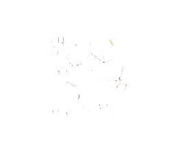 CCCC.COc1ccc(C2(CF)CCC(=O)CC2)cc1OC1CCCC1